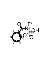 O=C(c1ccccc1)N(F)P(=O)(O)O